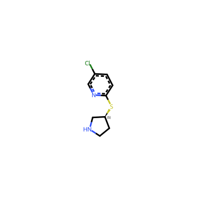 Clc1ccc(S[C@H]2CCNC2)nc1